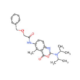 Cc1c(NC(=O)COCc2ccccc2)ccc2nc(N(C(C)C)C(C)C)oc(=O)c12